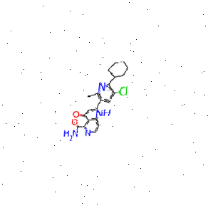 Cc1nc(C2CCCCC2)c(Cl)cc1-c1cc(=O)c2c(C(N)=O)nccc2[nH]1